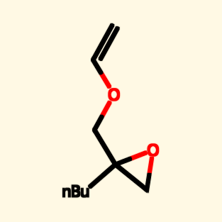 C=COCC1(CCCC)CO1